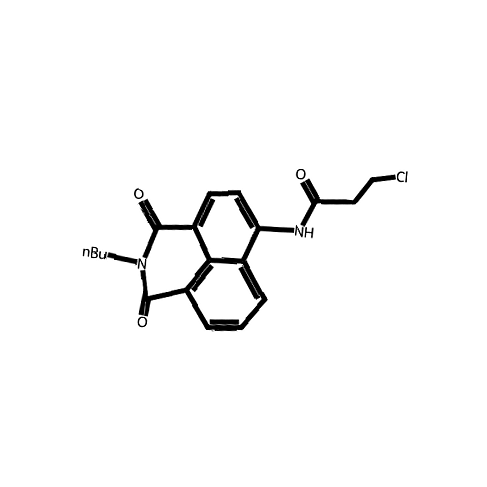 CCCCN1C(=O)c2cccc3c(NC(=O)CCCl)ccc(c23)C1=O